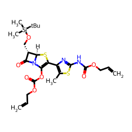 C=CCOC(=O)Nc1nc(C2=C(OC(=O)OCC=C)N3C(=O)[C@H](CO[Si](C)(C)C(C)(C)C)[C@H]3S2)c(C)s1